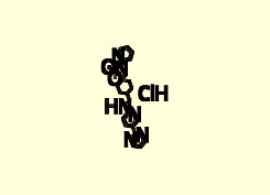 Cl.O=C1OC2(CCC(CNc3ccc(-c4ncccn4)cn3)CC2)CN1c1ccccn1